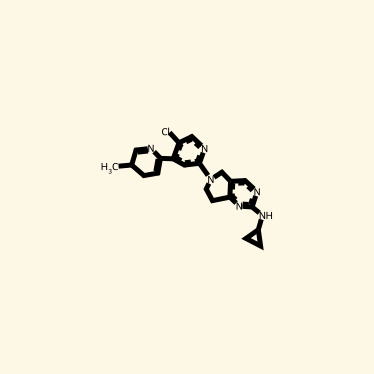 CC1C=NC(c2cc(N3CCc4nc(NC5CC5)ncc4C3)ncc2Cl)=CC1